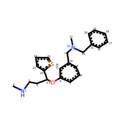 CNCCC(Oc1cccc(CN(C)Cc2ccccc2)c1)c1cccs1